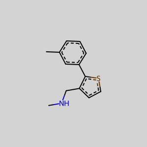 CNCc1ccsc1-c1cccc(C)c1